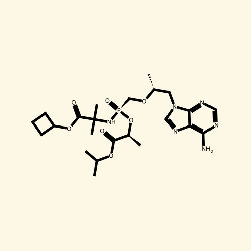 CC(C)OC(=O)[C@H](C)O[P@](=O)(CO[C@H](C)Cn1cnc2c(N)ncnc21)NC(C)(C)C(=O)OC1CCC1